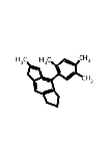 CC1=Cc2c(cc3c(c2-c2cc(C)c(C)cc2C)CCC3)C1